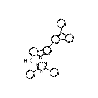 CC1=C=C=Cc2c1n(-c1nc(-c3ccccc3)nc(-c3ccccc3)n1)c1ccc(-c3ccc4c(c3)c3ccccc3n4-c3ccccc3)cc21